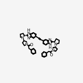 O=C(Cc1ccccc1)N1CCC(N2CCC[C@H]2c2nc3cc(C#Cc4ccc5[nH]c(C6CCCN6[C@@H]6CCN(C(=O)Cc7ccccc7)C6)nc5c4)ccc3[nH]2)C1